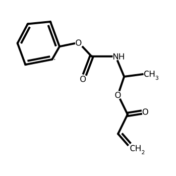 C=CC(=O)OC(C)NC(=O)Oc1[c]cccc1